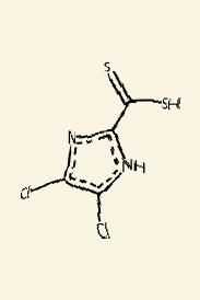 S=C(S)c1nc(Cl)c(Cl)[nH]1